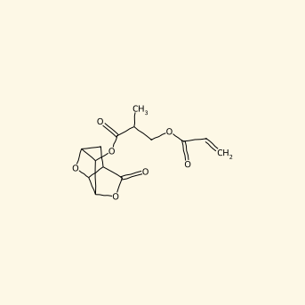 C=CC(=O)OCC(C)C(=O)OC1C2CC3C(=O)OC1C3O2